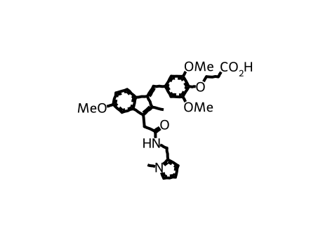 COc1ccc2c(c1)C(CC(=O)NCc1cccn1C)=C(C)C2=Cc1cc(OC)c(OCCC(=O)O)c(OC)c1